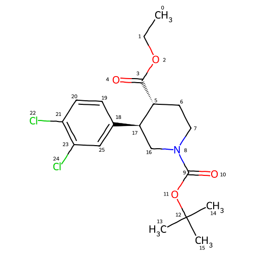 CCOC(=O)[C@@H]1CCN(C(=O)OC(C)(C)C)C[C@H]1c1ccc(Cl)c(Cl)c1